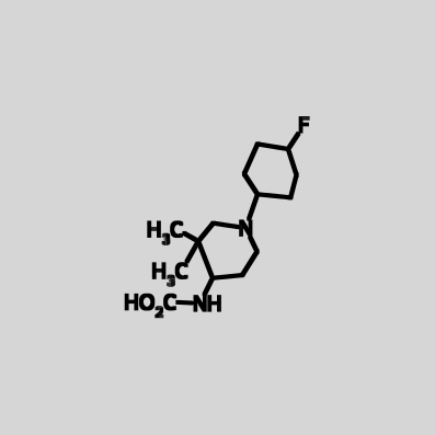 CC1(C)CN(C2CCC(F)CC2)CCC1NC(=O)O